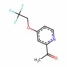 CC(=O)c1cc(OCC(F)(F)F)ccn1